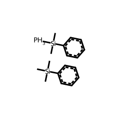 C[Si](C)(C)c1ccccc1.C[Si](C)(C)c1ccccc1.P